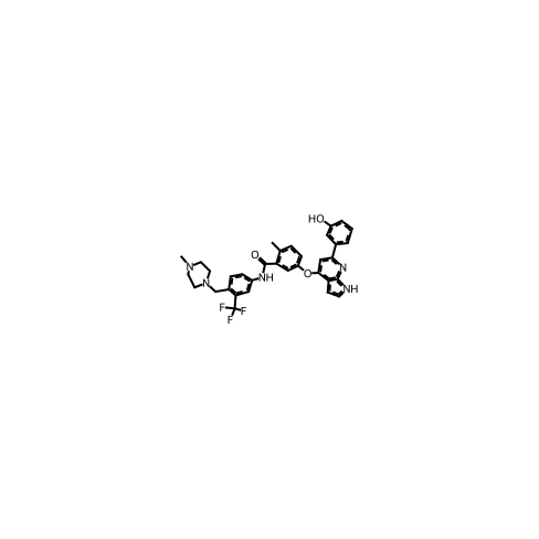 Cc1ccc(Oc2cc(-c3cccc(O)c3)nc3[nH]ccc23)cc1C(=O)Nc1ccc(CN2CCN(C)CC2)c(C(F)(F)F)c1